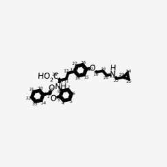 O=C(Oc1ccccc1NC(CCc1ccc(OCCCNCC2CC2)cc1)C(=O)O)c1ccccc1